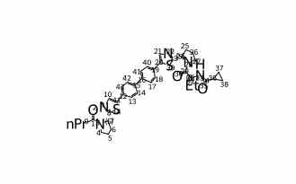 CCCC(=O)N1CCC[C@H]1c1ncc(-c2ccc(-c3ccc(-c4cnc([C@@H]5CCCN5C(=O)[C@@H](CC)NC(=O)C5CC5)s4)cc3)cc2)s1